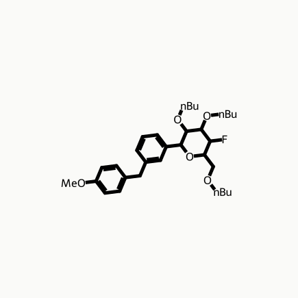 CCCCOCC1OC(c2cccc(Cc3ccc(OC)cc3)c2)C(OCCCC)C(OCCCC)C1F